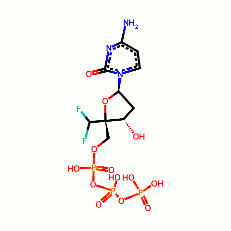 Nc1ccn([C@H]2C[C@H](O)[C@](COP(=O)(O)OP(=O)(O)OP(=O)(O)O)(C(F)F)O2)c(=O)n1